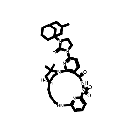 CC1CC2CCCC(N3CCN(c4ccc5c(n4)N4C[C@@H](CCCNc6cccc(n6)S(=O)(=O)NC5=O)CC4(C)C)C3=O)(C1)C2